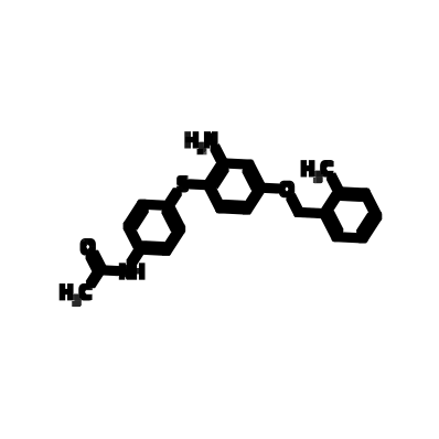 CC(=O)Nc1ccc(Sc2ccc(OCc3ccccc3C)cc2N)cc1